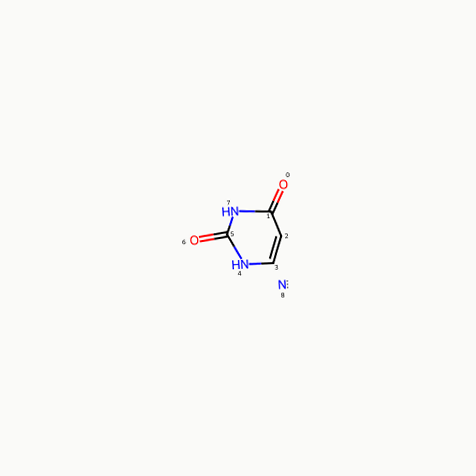 O=c1cc[nH]c(=O)[nH]1.[N]